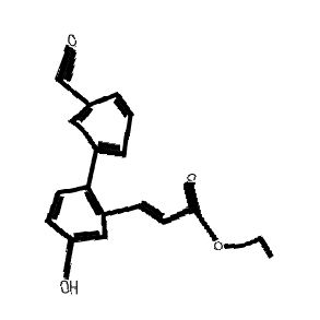 CCOC(=O)/C=C/c1cc(O)ccc1-c1cccc(C=O)c1